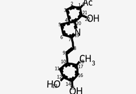 CC(=O)c1ccc2ccc(/C=C/c3cc(O)c(O)cc3C)nc2c1O